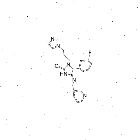 O=C1N/C(=N\Cc2cccnc2)C(c2cccc(F)c2)N1CCCn1ccnc1